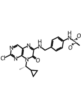 C[C@@H](C1CC1)n1c(=O)c(NCc2ccc(NS(C)(=O)=O)cc2)nc2cnc(Cl)nc21